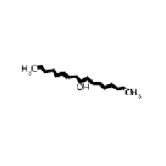 CCCCCC=CCC(O)CCCCCCCC